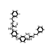 CSC(=NCCc1ccccc1)Nc1ccc(Oc2ccc(NC(=NCCc3ccccc3)SC)cc2)cc1